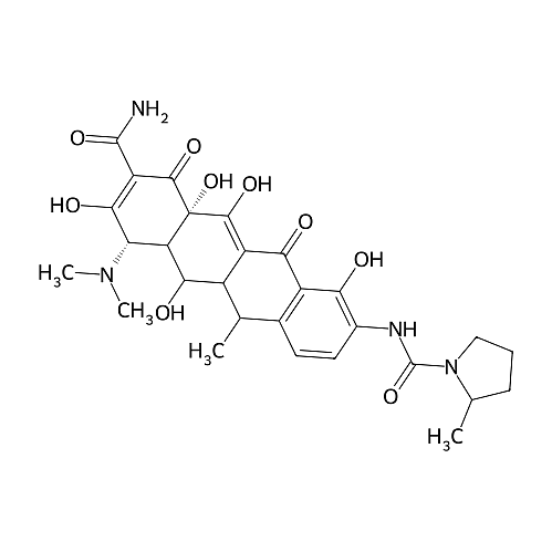 CC1c2ccc(NC(=O)N3CCCC3C)c(O)c2C(=O)C2=C(O)[C@]3(O)C(=O)C(C(N)=O)=C(O)[C@@H](N(C)C)C3C(O)C21